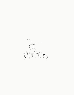 COc1cccc(CN(C2=COc3ccccc3O2)C2=COc3ccccc3O2)c1OC